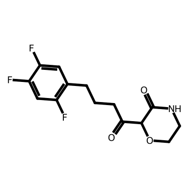 O=C(CCCc1cc(F)c(F)cc1F)C1OCCNC1=O